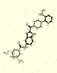 CC(C)Nc1cccnc1N1CCN(C(=O)c2cc3cc(NC(=O)N4C[C@@H](C)N[C@@H](C)C4)ccc3[nH]2)CC1